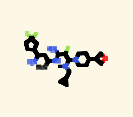 CNC(CC(N)C1CCC(F)(F)C1)NC(N)C(F)C(N(C)CC1CC1)N1CCC(C2COC2)CC1